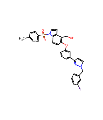 Cc1ccc(S(=O)(=O)n2ccc3c(CO)c(Oc4cccc(-c5ccn(Cc6cccc(I)c6)n5)c4)ccc32)cc1